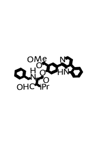 COC(=O)c1cc(-c2nccc3c2[nH]c2ccccc23)ccc1OC(=O)[C@@H](NCc1ccccc1)C(C=O)C(C)C